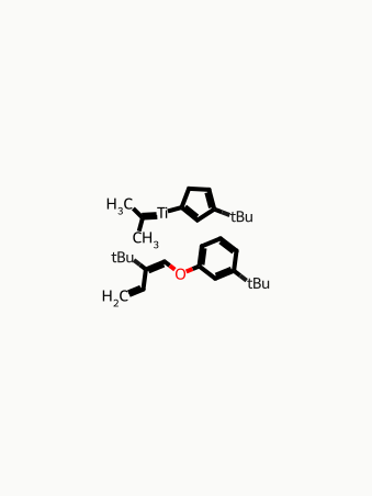 C=CC(=COc1cccc(C(C)(C)C)c1)C(C)(C)C.C[C](C)=[Ti][C]1=CC(C(C)(C)C)=CC1